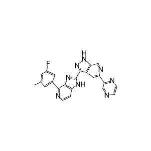 Cc1cc(F)cc(-c2nccc3[nH]c(-c4n[nH]c5cnc(-c6cnccn6)cc45)nc23)c1